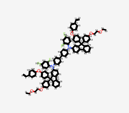 C=Cc1ccc(Oc2ccc(C3(c4ccc(OCCOCC)cc4)c4ccccc4-c4ccc(N(c5ccc(-c6ccc(N(c7ccc8c(c7)C(c7ccc(OCCOCC)cc7)(c7ccc(Oc9ccc(C=C)cc9)cc7)c7ccccc7-8)c7ccc(F)cc7F)cc6)cc5)c5ccc(F)cc5F)cc43)cc2)cc1